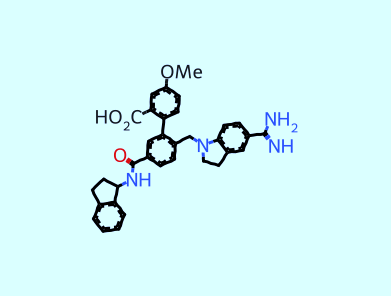 COc1ccc(-c2cc(C(=O)NC3CCc4ccccc43)ccc2CN2CCc3cc(C(=N)N)ccc32)c(C(=O)O)c1